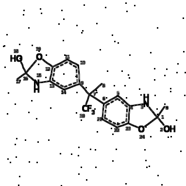 CC1(O)Nc2cc(C(C)(c3ccc4c(c3)NC(C)(O)O4)C(F)(F)F)ccc2O1